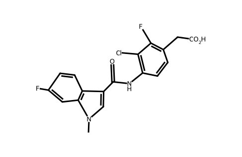 Cn1cc(C(=O)Nc2ccc(CC(=O)O)c(F)c2Cl)c2ccc(F)cc21